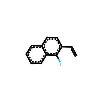 C=Cc1ccc2ccccc2c1F